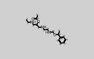 CCNCC(CNCCNCOC(C)c1ccccc1)OC(C)=O